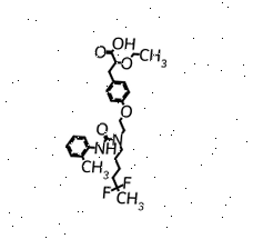 CCOC(Cc1ccc(OCCN(CCCCC(C)(F)F)C(=O)Nc2ccccc2C)cc1)C(=O)O